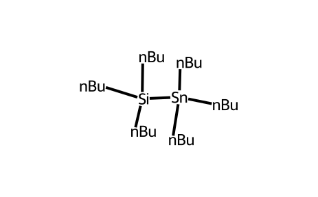 CCCC[Si](CCCC)(CCCC)[Sn]([CH2]CCC)([CH2]CCC)[CH2]CCC